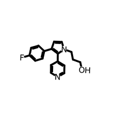 OCCCn1ccc(-c2ccc(F)cc2)c1-c1ccncc1